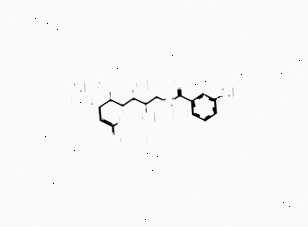 CC(=O)N[C@H]1[C@H]([C@H](O)[C@H](O)CNC(=O)c2cccc(N)c2)OC(C(=O)O)=C[C@@H]1O